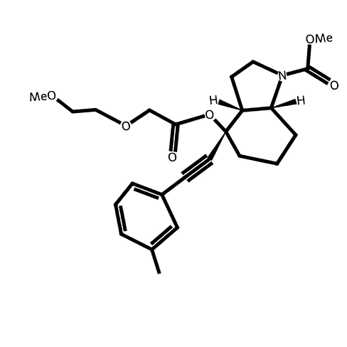 COCCOCC(=O)O[C@@]1(C#Cc2cccc(C)c2)CCC[C@@H]2[C@H]1CCN2C(=O)OC